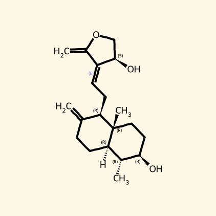 C=C1OC[C@@H](O)/C1=C\C[C@@H]1C(=C)CC[C@@H]2[C@@H](C)[C@H](O)CC[C@@]12C